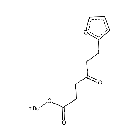 CCCCOC(=O)CCC(=O)CCc1ccco1